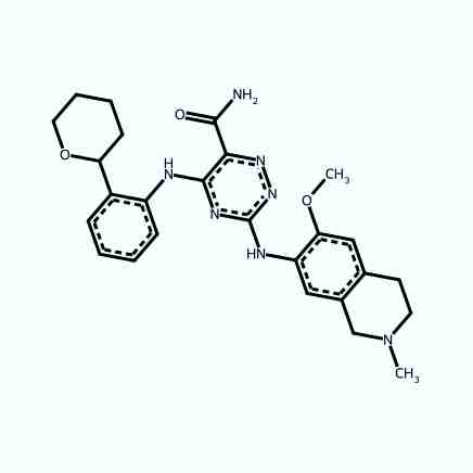 COc1cc2c(cc1Nc1nnc(C(N)=O)c(Nc3ccccc3C3CCCCO3)n1)CN(C)CC2